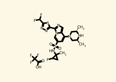 C[C@H]1CN(c2cc(S(=O)(=O)NC3(C)CC3F)cn3c(-c4nnc(C(F)F)s4)ncc23)C[C@H](C)N1.O=C(O)C(F)(F)F